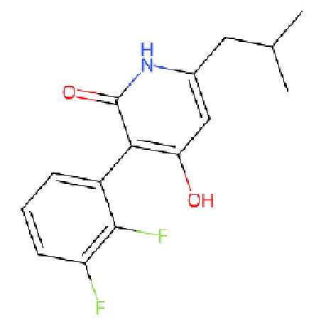 CC(C)Cc1cc(O)c(-c2cccc(F)c2F)c(=O)[nH]1